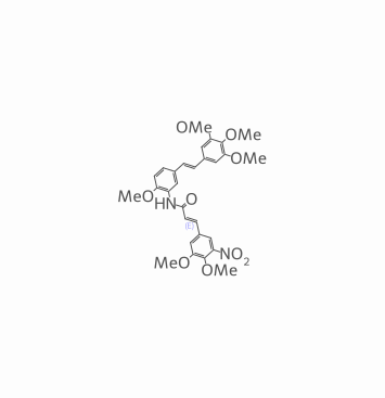 COc1ccc(C=Cc2cc(OC)c(OC)c(OC)c2)cc1NC(=O)/C=C/c1cc(OC)c(OC)c([N+](=O)[O-])c1